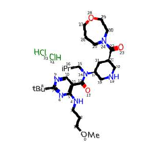 COCCCNc1nc(C(C)(C)C)ncc1C(=O)N(CC(C)C)[C@@H]1CNC[C@H](C(=O)N2CCCOCC2)C1.Cl.Cl